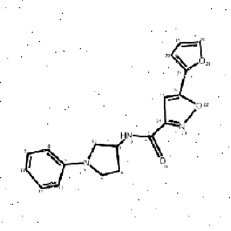 O=C(NC1CCN(c2ccccc2)C1)c1cc(-c2ccco2)on1